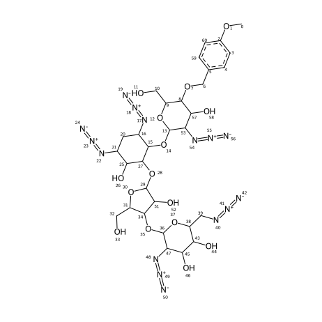 COc1ccc(COC2C(CO)OC(OC3C(N=[N+]=[N-])CC(N=[N+]=[N-])C(O)C3OC3OC(CO)C(OC4OC(CN=[N+]=[N-])C(O)C(O)C4N=[N+]=[N-])C3O)C(N=[N+]=[N-])C2O)cc1